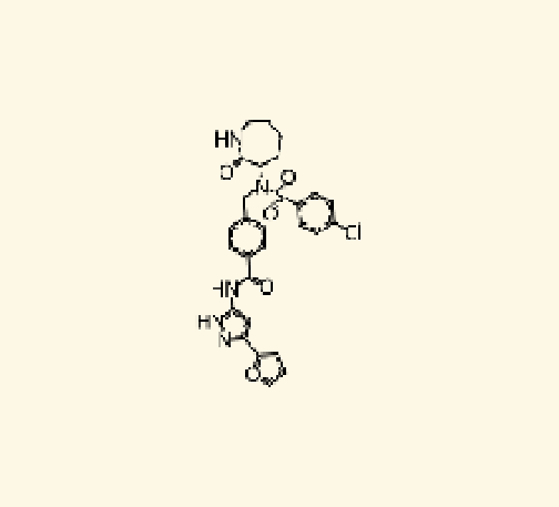 O=C(Nc1cc(-c2ccco2)n[nH]1)c1ccc(CN([C@@H]2CCCCNC2=O)S(=O)(=O)c2ccc(Cl)cc2)cc1